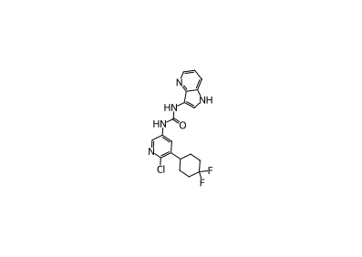 O=C(Nc1cnc(Cl)c(C2CCC(F)(F)CC2)c1)Nc1c[nH]c2cccnc12